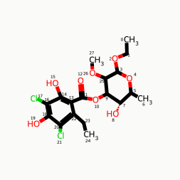 CCOC1OC(C)[C@H](O)C(OC(=O)c2c(O)c(Cl)c(O)c(Cl)c2CC)C1OC